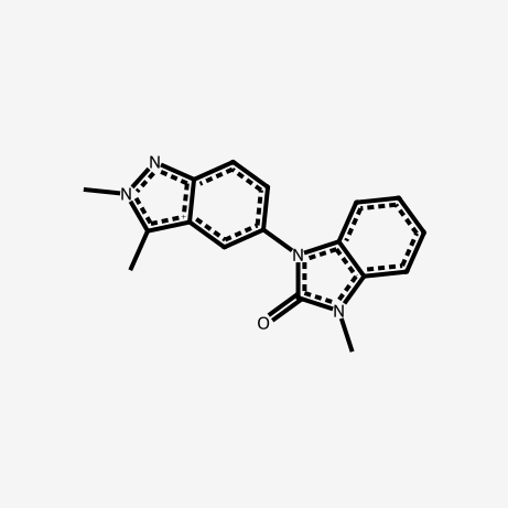 Cc1c2cc(-n3c(=O)n(C)c4ccccc43)ccc2nn1C